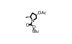 CC(=O)O[C@H]1C[C@H](C)N(C(=O)OC(C)(C)C)C1